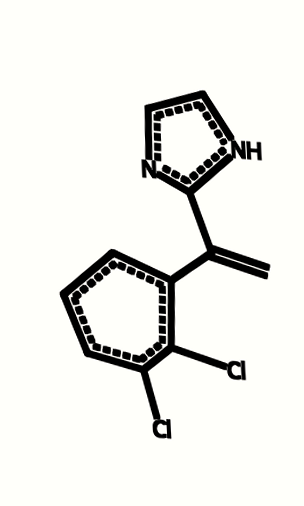 C=C(c1ncc[nH]1)c1cccc(Cl)c1Cl